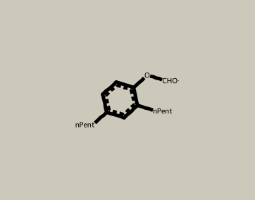 CCCCCc1ccc(O[C]=O)c(CCCCC)c1